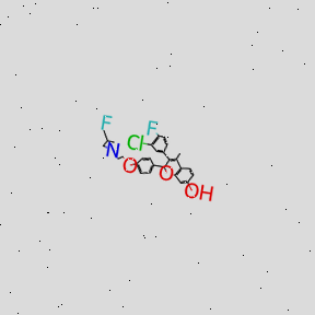 CC1=C(c2ccc(F)c(Cl)c2)C(c2ccc(OCCN3CC(CF)C3)cc2)Oc2cc(O)ccc21